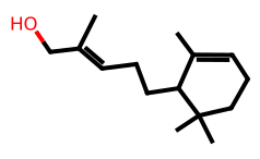 CC1=CCCC(C)(C)C1CC/C=C(\C)CO